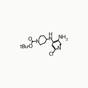 CC(C)(C)OC(=O)N1CCC(Nc2cc(Cl)ncc2N)CC1